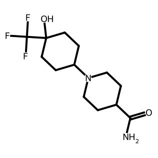 NC(=O)C1CCN(C2CCC(O)(C(F)(F)F)CC2)CC1